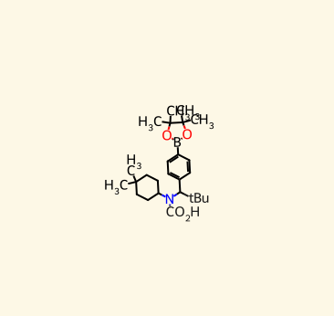 CC1(C)CCC(N(C(=O)O)C(c2ccc(B3OC(C)(C)C(C)(C)O3)cc2)C(C)(C)C)CC1